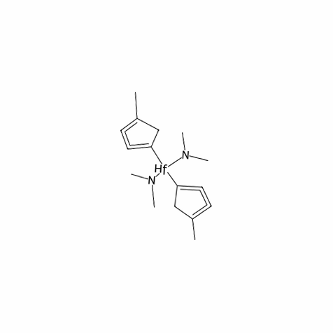 CC1=C=C=[C]([Hf]([C]2=C=C=C(C)C2)([N](C)C)[N](C)C)C1